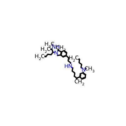 C=CCCCN(C)c1cccc(C(=C)CCCCNCCCc2ccc3c(c2)CN(C(CCC=C)C(=C)NC)C3=C)c1